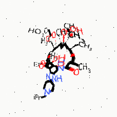 CCOc1c(C)c(O)c2c3c1C(=O)C/C=C/C[C@@H](C)[C@@H](OC(=O)CC(=O)O)[C@H](C)[C@H](OC(C)(C)O)[C@H](C)C[C@@H](C)/C=C/C=C(/C)C(=O)NC(=C1NC4(CCN(CC(C)C)CC4)N=C13)C2=O